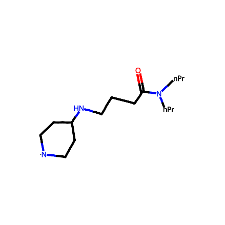 CCCN(CCC)C(=O)CCCNC1CC[N]CC1